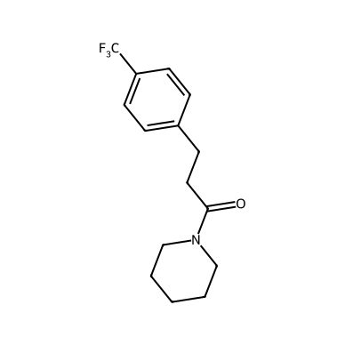 O=C(CCc1ccc(C(F)(F)F)cc1)N1CCCCC1